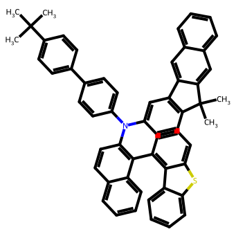 CC(C)(C)c1ccc(-c2ccc(N(C3=CC4=C(CC3)C(C)(C)c3cc5ccccc5cc34)c3ccc4ccccc4c3-c3c#ccc4sc5ccccc5c34)cc2)cc1